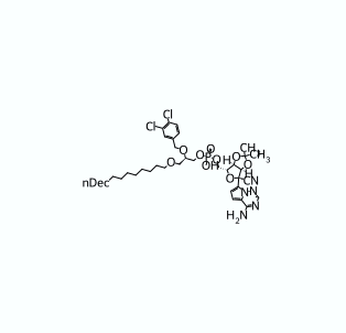 CCCCCCCCCCCCCCCCCCOC[C@H](COP(=O)(O)OC[C@H]1O[C@@](C#N)(c2ccc3c(N)ncnn23)[C@@H]2OC(C)(C)O[C@@H]21)OCc1ccc(Cl)c(Cl)c1